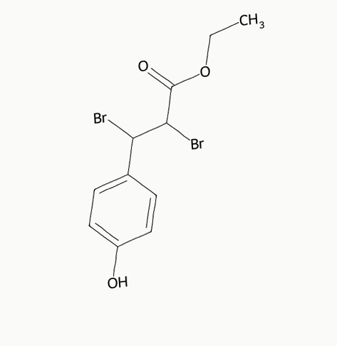 CCOC(=O)C(Br)C(Br)c1ccc(O)cc1